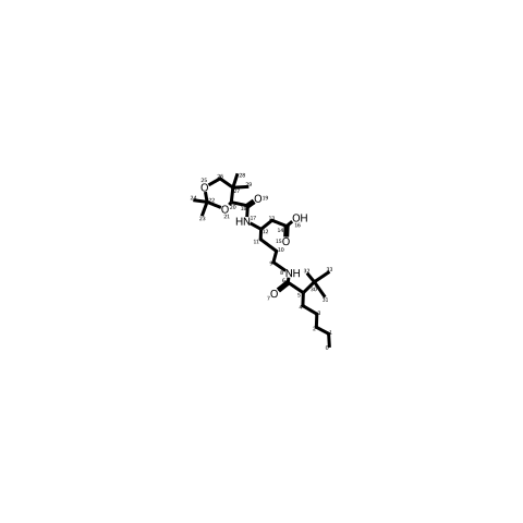 CCCCCC(C(=O)NCCCC(CC(=O)O)NC(=O)C1OC(C)(C)OCC1(C)C)C(C)(C)C